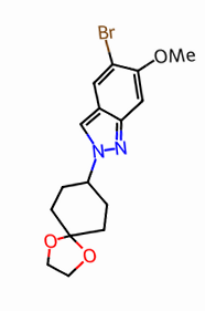 COc1cc2nn(C3CCC4(CC3)OCCO4)cc2cc1Br